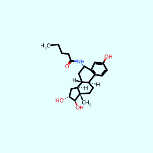 CCCCC(=O)N[C@H]1C[C@@H]2[C@H](CC[C@]3(C)[C@@H](O)[C@H](O)C[C@@H]23)c2ccc(O)cc21